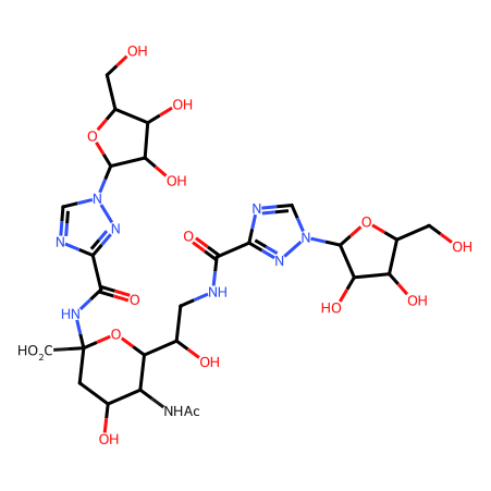 CC(=O)NC1C(O)CC(NC(=O)c2ncn(C3OC(CO)C(O)C3O)n2)(C(=O)O)OC1C(O)CNC(=O)c1ncn(C2OC(CO)C(O)C2O)n1